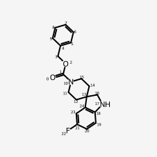 O=C(OCc1ccccc1)N1CCC2(CC1)CNc1ccc(F)cc12